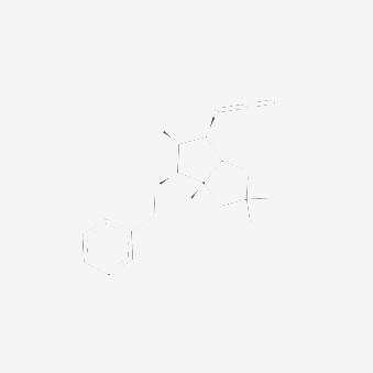 CC1(C)OC2[C@H](N=[N+]=[N-])[C@H](O)[C@H](OCc3ccccc3)[C@H]2O1